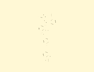 CC[C@H](N[C@@H](Cc1ccc2c(c1)OC[C@H](c1ccc(OCc3ccc(Cl)c(Cl)c3)cc1)O2)C(N)=O)c1ccccc1